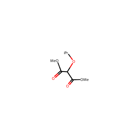 COC(=O)C(OC(C)C)C(=O)OC